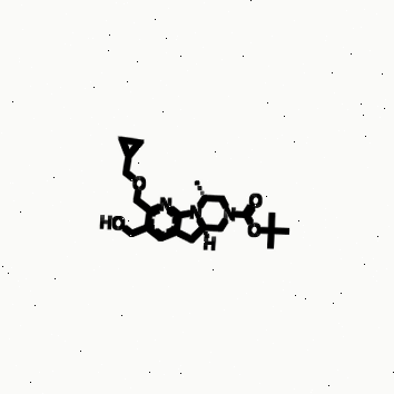 C[C@@H]1CN(C(=O)OC(C)(C)C)C[C@H]2Cc3cc(CO)c(COCC4CC4)nc3N21